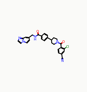 N#Cc1ccc(C(=O)N2CCC(c3ccc(C(=O)NCc4ccn5ccnc5c4)cc3)CC2)c(Cl)c1